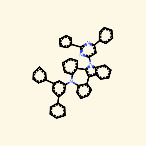 c1ccc(-c2cc(-c3ccccc3)cc(N3c4ccccc4-c4c(n(-c5cc(-c6ccccc6)nc(-c6ccccc6)n5)c5ccccc45)-c4ccccc43)c2)cc1